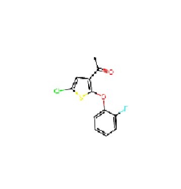 CC(=O)c1cc(Cl)sc1Oc1ccccc1F